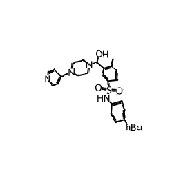 CCCCc1ccc(NS(=O)(=O)c2ccc(C)c(C(O)N3CCN(c4ccncc4)CC3)c2)cc1